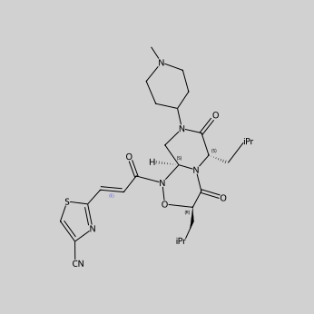 CC(C)C[C@H]1ON(C(=O)/C=C/c2nc(C#N)cs2)[C@H]2CN(C3CCN(C)CC3)C(=O)[C@H](CC(C)C)N2C1=O